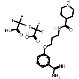 N=C(N)c1cccc(OCCCNC(=O)C2CCNCC2)c1.O=C(O)C(F)(F)F.O=C(O)C(F)(F)F